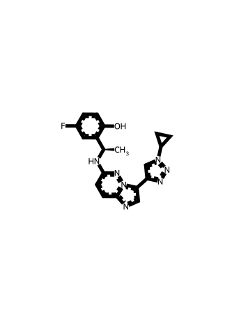 C[C@@H](Nc1ccc2ncc(-c3cn(C4CC4)nn3)n2n1)c1cc(F)ccc1O